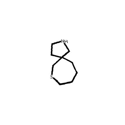 C1CCC2(CCNC2)CSC1